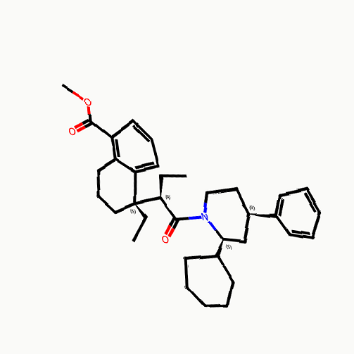 CC[C@@H](C(=O)N1CC[C@@H](c2ccccc2)C[C@H]1C1CCCCC1)[C@]1(CC)CCCc2c(C(=O)OC)cccc21